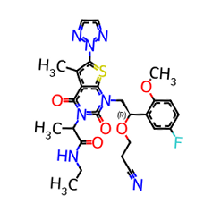 CCNC(=O)C(C)n1c(=O)c2c(C)c(-n3nccn3)sc2n(C[C@H](OCCC#N)c2cc(F)ccc2OC)c1=O